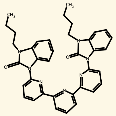 CCCCn1c(=O)n(-c2cccc(-c3cccc(-c4cccc(-n5c(=O)n(CCCC)c6ccccc65)n4)n3)n2)c2ccccc21